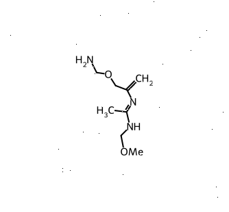 C=C(COCN)/N=C(\C)NCOC